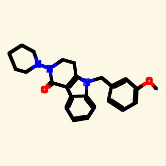 COc1cccc(Cn2c3c(c4ccccc42)C(=O)N(N2CCCCC2)CC3)c1